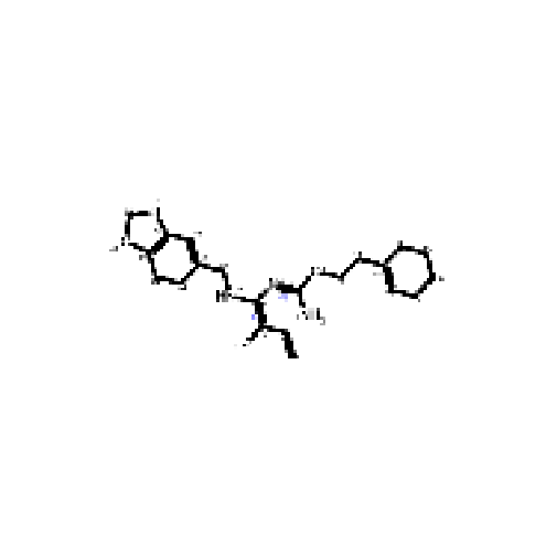 C=C/C(F)=C(\N=C(/N)OCCC1=CCCCC1)NCC1=CC2=C(CC1)OCO2